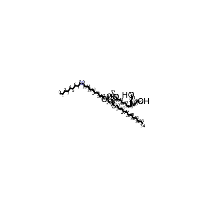 CCCCCCCC/C=C\CCCCCCCCOC(CSSCCCCCCCCCCCC)O[Si](C)(C)OCCCCCCN(CCO)CCO